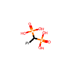 CC(C)C(P(=O)(O)O)P(=O)(O)O